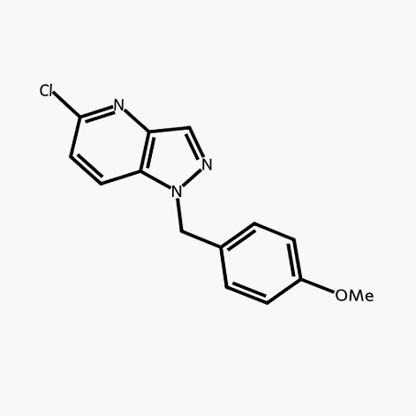 COc1ccc(Cn2ncc3nc(Cl)ccc32)cc1